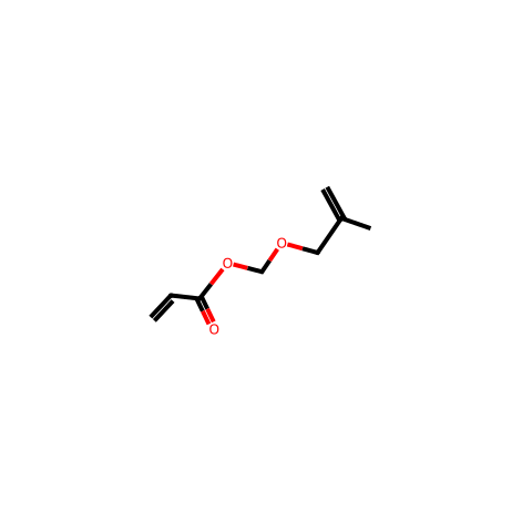 C=CC(=O)OCOCC(=C)C